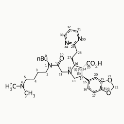 CCCCN(CCCCN(C)C)C(=O)CN1C[C@H](c2ccc3c(c2)OCO3)[C@@H](C(=O)O)[C@@H]1CCc1ncccn1